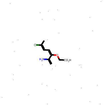 C=C(N)/C(=C\C=C(/C)Cl)OCC(=O)O